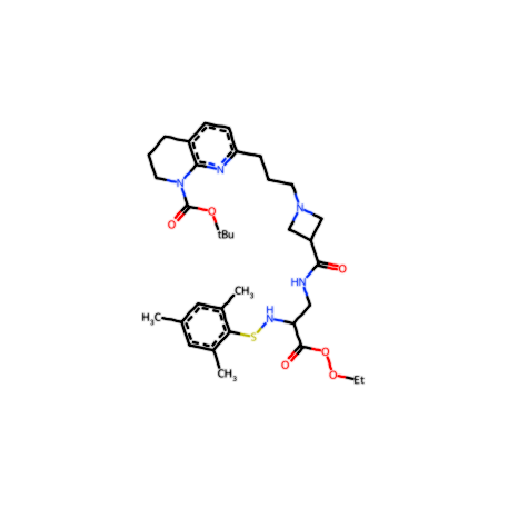 CCOOC(=O)C(CNC(=O)C1CN(CCCc2ccc3c(n2)N(C(=O)OC(C)(C)C)CCC3)C1)NSc1c(C)cc(C)cc1C